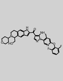 Cc1cc(Oc2c(F)cccc2F)ncc1-n1ncc(C(=O)c2cc3cc4c(cc3[nH]2)CCN(C2CCOCC2)C4CO)c1N